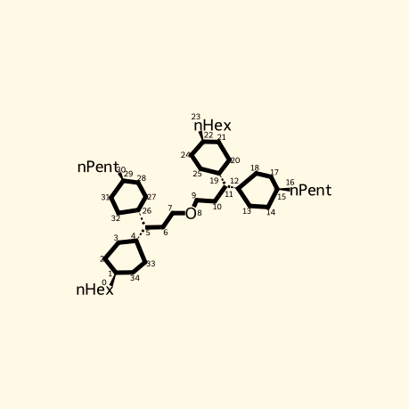 CCCCCC[C@H]1CC[C@H](C(CCOCCC([C@H]2CC[C@H](CCCCC)CC2)[C@H]2CC[C@H](CCCCCC)CC2)[C@H]2CC[C@H](CCCCC)CC2)CC1